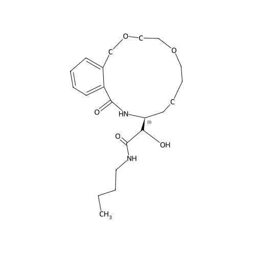 CCCCNC(=O)C(O)[C@@H]1CCCCOCCOCc2ccccc2C(=O)N1